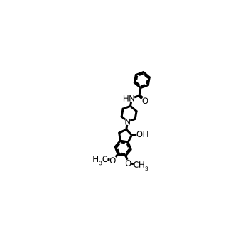 COc1cc2c(cc1OC)C(O)C(N1CCC(NC(=O)c3ccccc3)CC1)C2